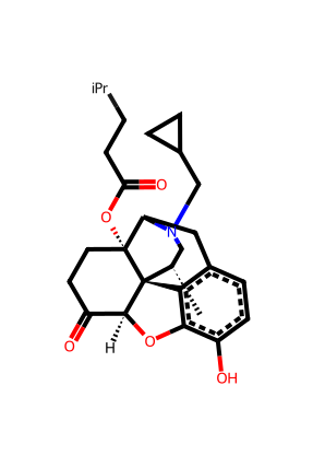 CC(C)CCC(=O)O[C@@]12CCC(=O)[C@@H]3Oc4c(O)ccc5c4[C@@]31[C@@H](C)CN(CC1CC1)C2C5